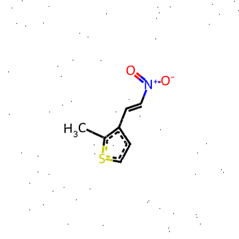 Cc1sccc1/C=C/[N+](=O)[O-]